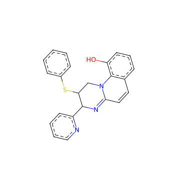 Oc1cccc2c1N1CC(Sc3ccccc3)C(c3ccccn3)N=C1C=C2